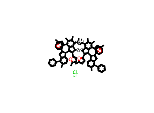 Cc1ccc(C2=Cc3c(ccc(C)c3-c3ccccc3)C2C2=C(c3ccc(C)o3)[CH]([Zr+2][CH]3C(c4ccc(C)o4)=C(C4C(c5ccc(C)o5)=Cc5c4ccc(C)c5-c4ccccc4)c4c(-c5ccccc5)c(C)c(C)c([SiH](C)C)c43)c3c2c(-c2ccccc2)c(C)c(C)c3[SiH](C)C)o1.[Cl-].[Cl-]